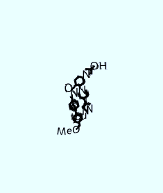 COCc1ccc(C23CCC(CN(C(=O)C4CCC(N5CC(O)C5)CC4)c4cc(-c5cnn(C(C)(C)C)c5)ccn4)(CC2)CC3)cc1